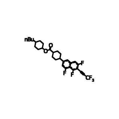 CCCCC1CCC(OC(=O)C2CCC(c3cc(F)c4c(F)c(C#CC(F)(F)F)c(F)cc4c3)CC2)CC1